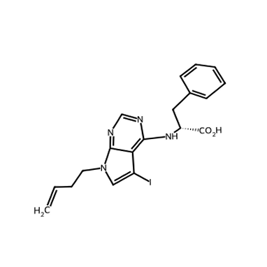 C=CCCn1cc(I)c2c(N[C@H](Cc3ccccc3)C(=O)O)ncnc21